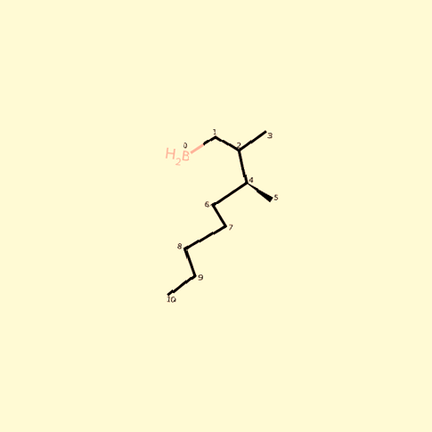 BCC(C)[C@@H](C)CCCCC